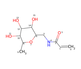 C=CC(=O)NCC1OC(C)C(O)C(O)C1O